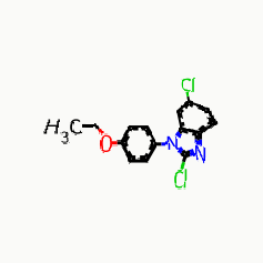 CCOc1ccc(-n2c(Cl)nc3ccc(Cl)cc32)cc1